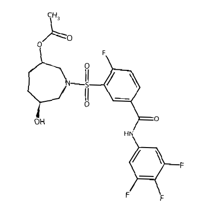 CC(=O)OC1CC[C@H](O)CN(S(=O)(=O)c2cc(C(=O)Nc3cc(F)c(F)c(F)c3)ccc2F)C1